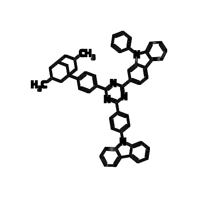 CC1CC2CC(C)CC(c3ccc(-c4nc(-c5ccc(-n6c7ccccc7c7ccccc76)cc5)nc(-c5ccc6c7ccccc7n(-c7ccccc7)c6c5)n4)cc3)(C1)C2